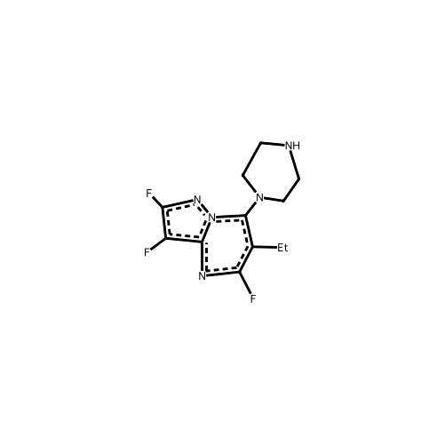 CCc1c(F)nc2c(F)c(F)nn2c1N1CCNCC1